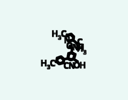 Cc1ccc(-c2cc(CO)cc(C(=O)N[C@H](C)c3ccc(C)nc3)c2)c(C#N)c1